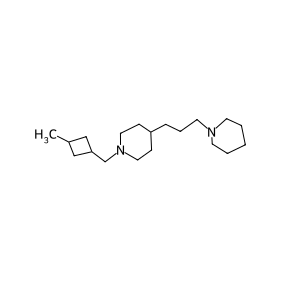 CC1CC(CN2CCC(CCCN3CCCCC3)CC2)C1